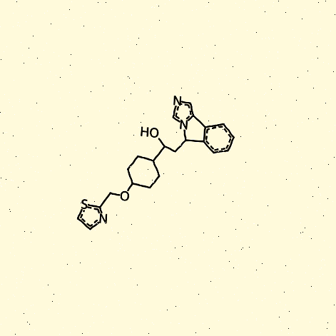 OC(CC1c2ccccc2-c2cncn21)C1CCC(OCc2nccs2)CC1